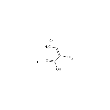 CC=C(C)C(=O)O.Cl.[Cr]